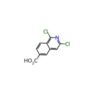 O=C(O)c1ccc2c(Cl)nc(Cl)cc2c1